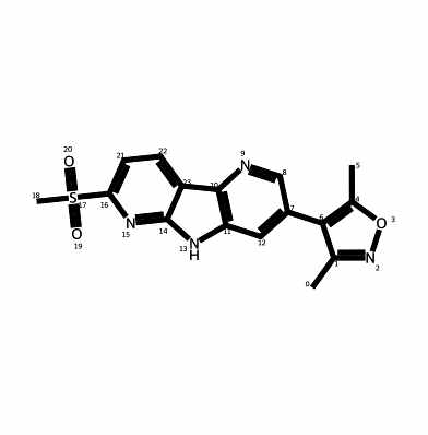 Cc1noc(C)c1-c1cnc2c(c1)[nH]c1nc(S(C)(=O)=O)ccc12